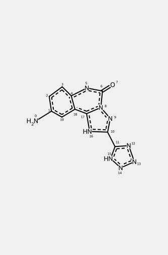 Nc1ccc2nc(=O)n3nc(-c4nnn[nH]4)[nH]c3c2c1